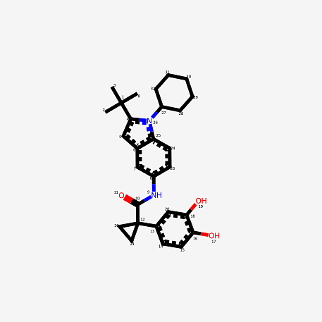 CC(C)(C)c1cc2cc(NC(=O)C3(c4ccc(O)c(O)c4)CC3)ccc2n1C1CCCCC1